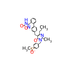 CCCc1nc(C)n(Cc2ccc([S+](C)[O-])cc2)c(=O)c1Cc1ccc(-c2ccccc2-c2noc(=O)[nH]2)cc1